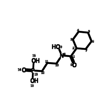 O=C(C1CCCCC1)N(O)CCCP(=O)(O)O